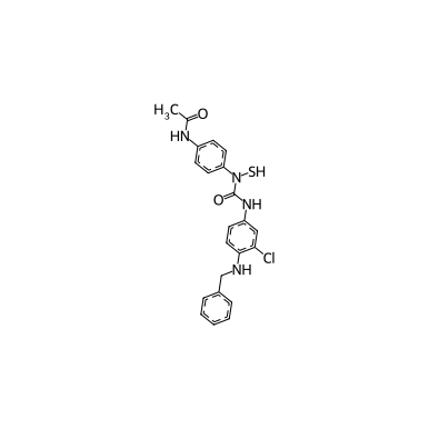 CC(=O)Nc1ccc(N(S)C(=O)Nc2ccc(NCc3ccccc3)c(Cl)c2)cc1